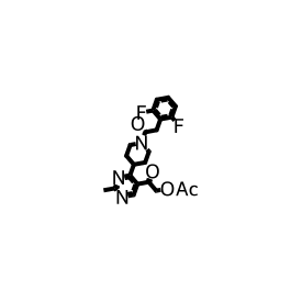 CC(=O)OCC(=O)c1cnc(C)nc1C1CCN(C(=O)Cc2c(F)cccc2F)CC1